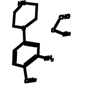 CC(C)(C)OC=O.COc1ccc(N2CCNCC2)cc1N